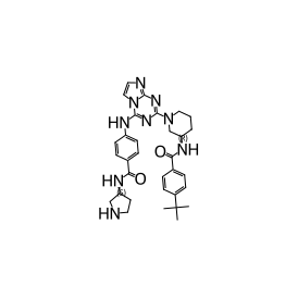 CC(C)(C)c1ccc(C(=O)N[C@@H]2CCCN(c3nc(Nc4ccc(C(=O)N[C@H]5CCNC5)cc4)n4ccnc4n3)C2)cc1